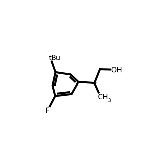 C[C](CO)c1cc(F)cc(C(C)(C)C)c1